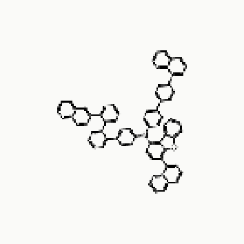 c1ccc(-c2ccccc2-c2ccc3ccccc3c2)c(-c2ccc(N(c3ccc(-c4ccc(-c5cccc6ccccc56)cc4)cc3)c3ccc(-c4cccc5ccccc45)c4oc5ccccc5c34)cc2)c1